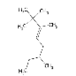 CCC(C)C/C=C(\C)C(C)(C)C